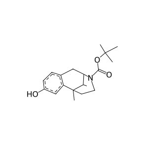 CC1C2Cc3ccc(O)cc3C1(C)CCN2C(=O)OC(C)(C)C